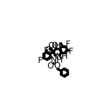 Cc1c(F)c(F)cc2c1C(=O)C(C(=O)O)(c1c(F)cc(F)cc1NC(=O)OCc1ccccc1)CN2